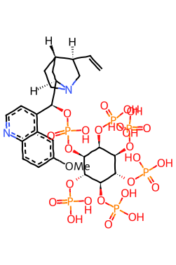 C=C[C@H]1CN2CC[C@H]1C[C@@H]2[C@@H](OP(=O)(O)O[C@@H]1[C@@H](OP(=O)(O)O)[C@H](OP(=O)(O)O)[C@@H](OP(=O)(O)O)[C@H](OP(=O)(O)O)[C@@H]1OP(=O)(O)O)c1ccnc2ccc(OC)cc12